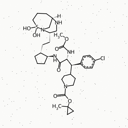 COC(=O)N[C@@H](C(=O)N[C@H]1CCC[C@@H]1CC[C@H]1CN[C@@H]2CCCS(O)(O)N1C2)[C@@H](c1ccc(Cl)cc1)C1CCN(C(=O)OC2(C)CC2)CC1